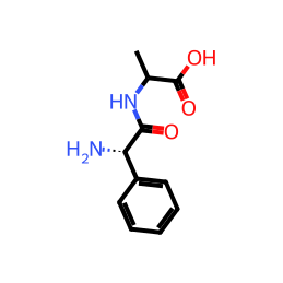 CC(NC(=O)[C@@H](N)c1ccccc1)C(=O)O